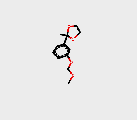 COCOc1cccc(C2(C)OCCO2)c1